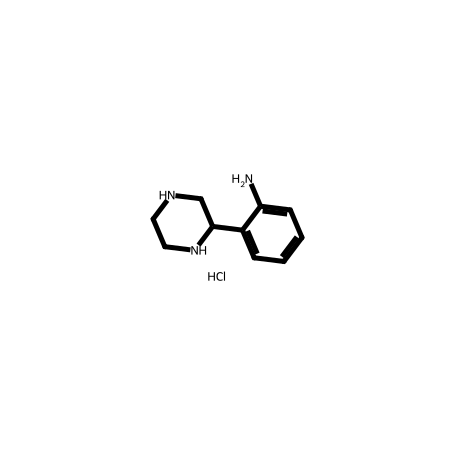 Cl.Nc1ccccc1C1CNCCN1